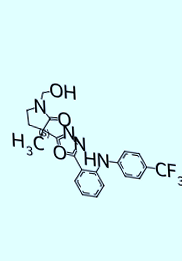 C[C@@]1(c2nnc(-c3ccccc3Nc3ccc(C(F)(F)F)cc3)o2)CCN(CO)C1=O